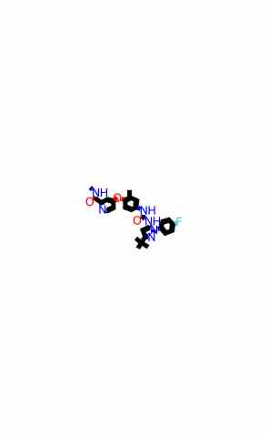 CNC(=O)c1cc(Oc2ccc(NC(=O)Nc3cc(C(C)(C)C)nn3-c3ccc(F)cc3)cc2C)ccn1